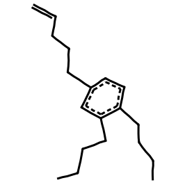 C=CCCCc1ccc(CCCC)c(CCCC)c1